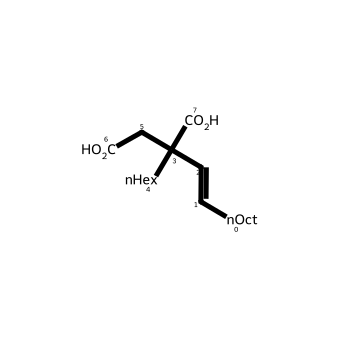 CCCCCCCCC=CC(CCCCCC)(CC(=O)O)C(=O)O